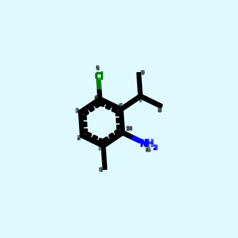 Cc1ccc(Cl)c(C(C)C)c1N